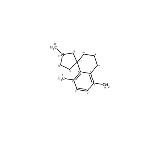 Cc1ccc(C)c2c1CCCC21CCN(C)C1